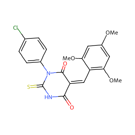 COc1cc(OC)c(/C=C2/C(=O)NC(=S)N(c3ccc(Cl)cc3)C2=O)c(OC)c1